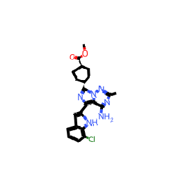 COC(=O)[C@H]1CC[C@H](c2nc(-c3cc4cccc(Cl)c4[nH]3)c3c(N)nc(C)nn32)CC1